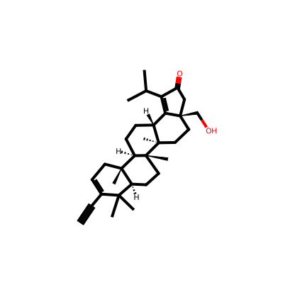 C#CC1=CC[C@]2(C)[C@H]3CC[C@@H]4C5=C(C(C)C)C(=O)C[C@]5(CO)CC[C@@]4(C)[C@]3(C)CC[C@H]2C1(C)C